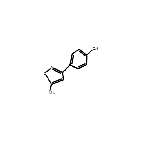 Cc1cc(-c2ccc(O)cc2)no1